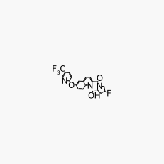 O=C(c1ccc2cc(Oc3ccc(C(F)(F)F)cn3)ccc2n1)N1C[C@@H](F)C[C@@H]1CO